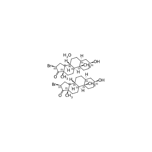 C[C@]12CC[C@H](O)C[C@@H]1CC[C@@H]1[C@@H]2CC[C@]2(C)C(=O)[C@@H](Br)C[C@@H]12.C[C@]12CC[C@H](O)C[C@@H]1CC[C@@H]1[C@@H]2CC[C@]2(C)C(=O)[C@@H](Br)C[C@@H]12.O